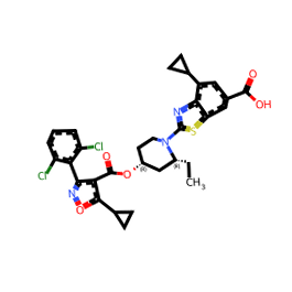 CC[C@@H]1C[C@H](OC(=O)c2c(-c3c(Cl)cccc3Cl)noc2C2CC2)CCN1c1nc2c(C3CC3)cc(C(=O)O)cc2s1